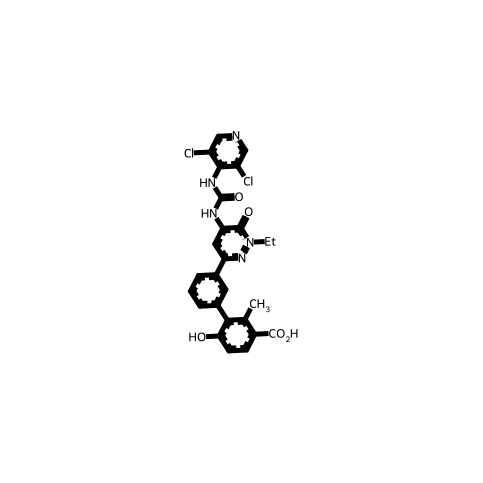 CCn1nc(-c2cccc(-c3c(O)ccc(C(=O)O)c3C)c2)cc(NC(=O)Nc2c(Cl)cncc2Cl)c1=O